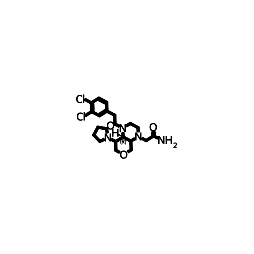 NC(=O)CN1CCN(C(=O)Cc2ccc(Cl)c(Cl)c2)[C@@H]2C(N3CCCC3)COCC21